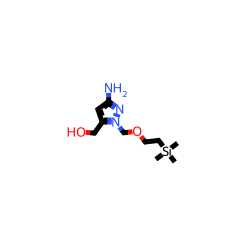 C[Si](C)(C)CCOCn1nc(N)cc1CO